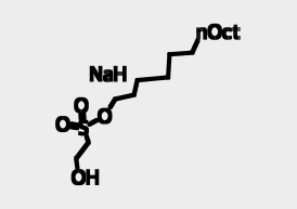 CCCCCCCCCCCCCCOS(=O)(=O)CCO.[NaH]